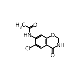 CC(=O)Nc1cc2c(cc1Cl)C(=O)NCO2